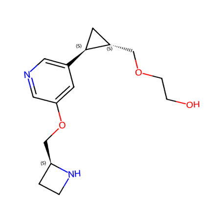 OCCOC[C@H]1C[C@@H]1c1cncc(OC[C@@H]2CCN2)c1